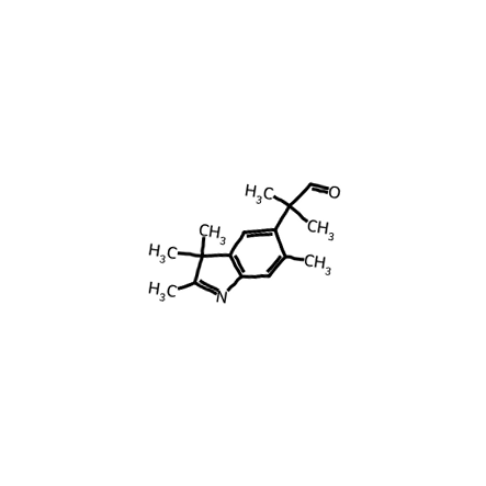 CC1=Nc2cc(C)c(C(C)(C)C=O)cc2C1(C)C